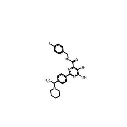 CC(c1ccc(-c2nc(O)c(O)c(C(=O)NCc3ccc(F)cc3)n2)cc1)N1CCCCC1